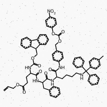 C=CCOC(=O)CCC(NC(=O)OCC1c2ccccc2-c2ccccc21)C(=O)NC(Cc1ccccc1)C(=O)NC(CCCCNC(c1ccccc1)(c1ccccc1)c1ccc(C)cc1)C(=O)Nc1ccc(COC(=O)Oc2ccc([N+](=O)[O-])cc2)cc1